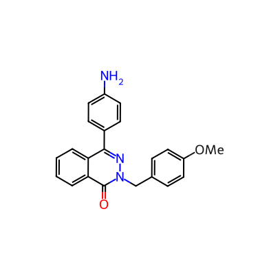 COc1ccc(Cn2nc(-c3ccc(N)cc3)c3ccccc3c2=O)cc1